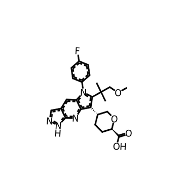 COCC(C)(C)c1c([C@H]2CC[C@H](C(=O)O)OC2)c2nc3[nH]ncc3cc2n1-c1ccc(F)cc1